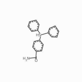 NC(=O)c1ccc([SiH](c2ccccc2)c2ccccc2)cc1